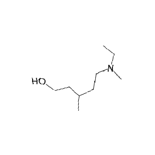 CCN(C)CCC(C)CCO